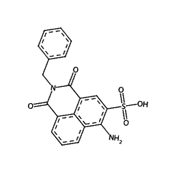 Nc1c(S(=O)(=O)O)cc2c3c(cccc13)C(=O)N(Cc1ccccc1)C2=O